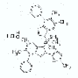 Cc1ccc(C2=Cc3c(cc(C)c(C)c3-c3ccccc3)[CH]2[Zr]([CH3])([CH3])(=[SiH2])[CH]2C=Cc3c2cc(C)c(C)c3-c2ccccc2)o1.Cl.Cl